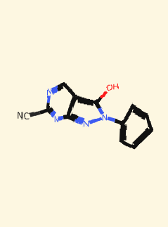 N#Cc1ncc2c(O)n(-c3ccccc3)nc2n1